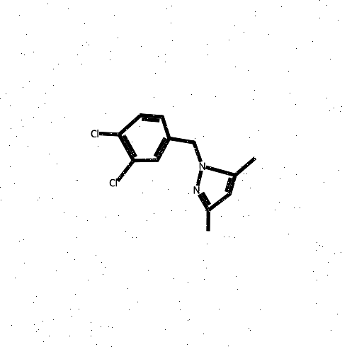 Cc1cc(C)n(Cc2ccc(Cl)c(Cl)c2)n1